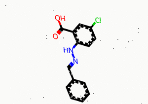 O=C(O)c1cc(Cl)ccc1N/N=C/c1ccccc1